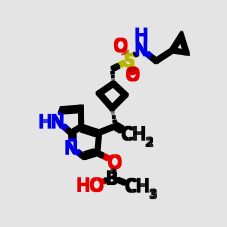 C=C(c1c(OB(C)O)cnc2[nH]ccc12)[C@H]1C[C@@H](CS(=O)(=O)NCC2CC2)C1